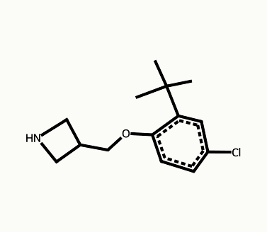 CC(C)(C)c1cc(Cl)ccc1OCC1CNC1